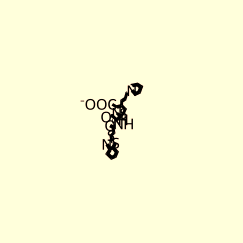 O=C(CSc1nc2ccccc2s1)N[C@@H]1C(=O)N2C(C(=O)[O-])=C(C=CC[n+]3ccccc3)CS[C@H]12